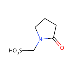 O=C1CCCN1CS(=O)(=O)O